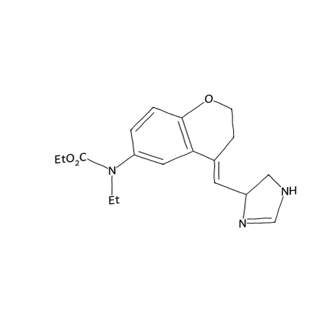 CCOC(=O)N(CC)c1ccc2c(c1)/C(=C/C1CNC=N1)CCO2